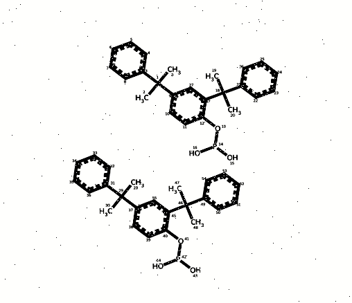 CC(C)(c1ccccc1)c1ccc(OP(O)O)c(C(C)(C)c2ccccc2)c1.CC(C)(c1ccccc1)c1ccc(OP(O)O)c(C(C)(C)c2ccccc2)c1